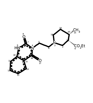 CCOC(=O)[C@@H]1CN(CCn2c(=O)[nH]c3ccccc3c2=O)CC[C@@H]1C